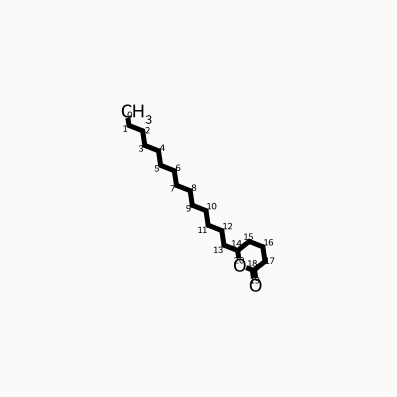 CCCCCCCCCCCCCCC1CCCC(=O)O1